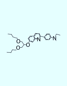 CCCCOCC(COCCCC)Oc1ccc2ccc(-c3ccc(N(C)CC)cc3)nc2c1